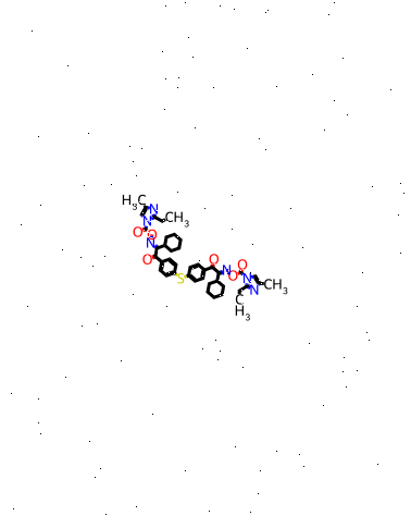 CCc1nc(C)cn1C(=O)O/N=C(/C(=O)c1ccc(Sc2ccc(C(=O)/C(=N/OC(=O)n3cc(C)nc3CC)C3CCCCC3)cc2)cc1)C1CCCCC1